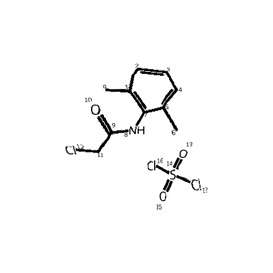 Cc1cccc(C)c1NC(=O)CCl.O=S(=O)(Cl)Cl